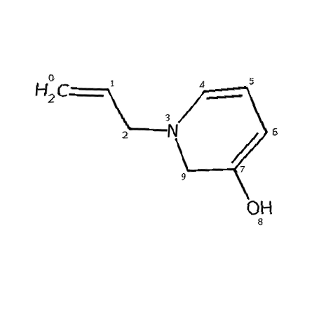 C=CCN1C=CC=C(O)C1